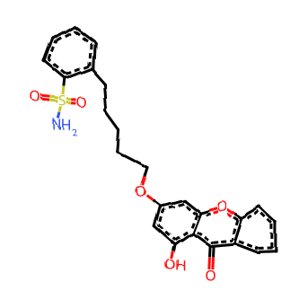 NS(=O)(=O)c1ccccc1CCCCCOc1cc(O)c2c(=O)c3ccccc3oc2c1